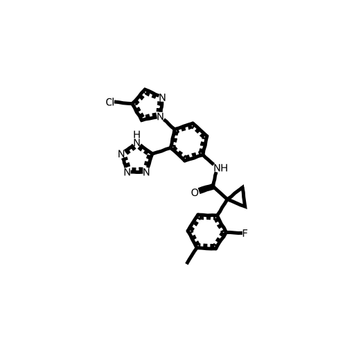 Cc1ccc(C2(C(=O)Nc3ccc(-n4cc(Cl)cn4)c(-c4nnn[nH]4)c3)CC2)c(F)c1